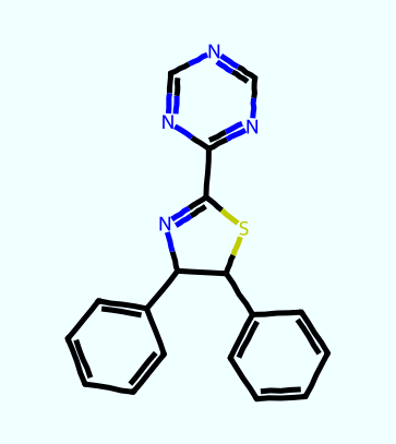 c1ccc(C2N=C(c3ncncn3)SC2c2ccccc2)cc1